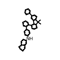 CC1(C)c2ccc(-c3ccccc3)cc2-c2c(-c3ccccc3-c3ccc(Nc4ccc5ccccc5c4)cc3)cccc21